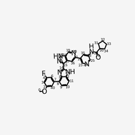 COc1cc(F)cc(-c2cccc3[nH]c(-c4n[nH]c5cnc(-c6cncc(NC(=O)C7CCCC7)c6)cc45)nc23)c1